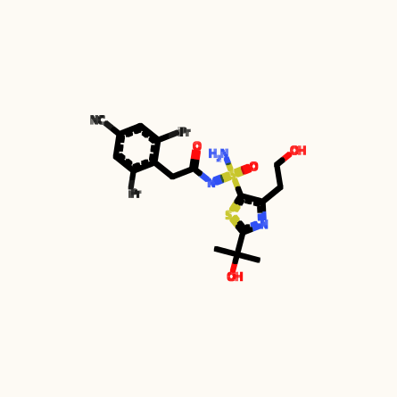 CC(C)c1cc(C#N)cc(C(C)C)c1CC(=O)N=S(N)(=O)c1sc(C(C)(C)O)nc1CCO